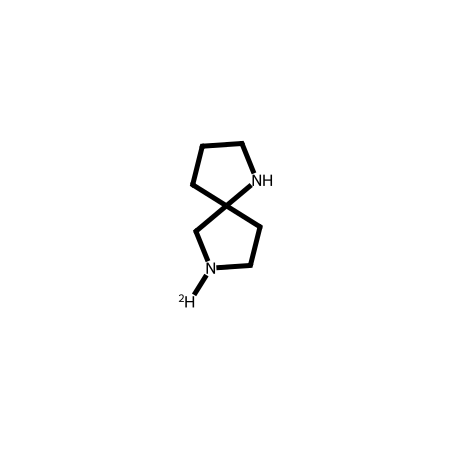 [2H]N1CCC2(CCCN2)C1